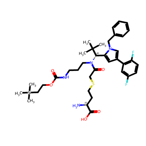 CC(C)(C)[C@H](c1cc(-c2cc(F)ccc2F)cn1Cc1ccccc1)N(CCCNC(=O)OCC[Si](C)(C)C)C(=O)CSCC[C@H](N)C(=O)O